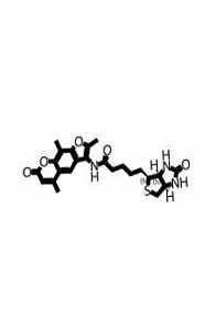 Cc1oc2c(C)c3oc(=O)cc(C)c3cc2c1NC(=O)CCCC[C@@H]1SC[C@@H]2NC(=O)N[C@@H]21